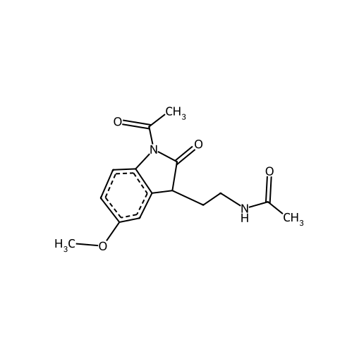 COc1ccc2c(c1)C(CCNC(C)=O)C(=O)N2C(C)=O